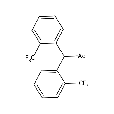 CC(=O)C(c1ccccc1C(F)(F)F)c1ccccc1C(F)(F)F